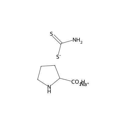 NC(=S)[S-].O=C(O)C1CCCN1.[Na+]